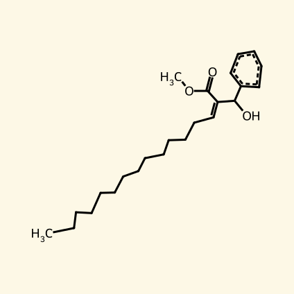 CCCCCCCCCCCCC/C=C(\C(=O)OC)C(O)c1ccccc1